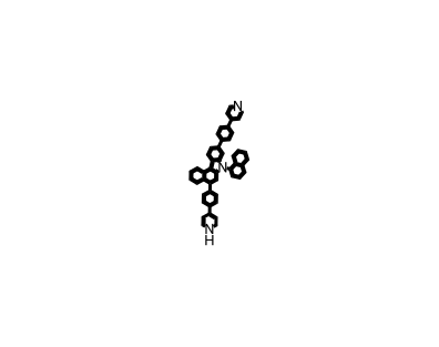 C1=CC(c2ccc(-c3cc4c(c5ccccc35)c3ccc(-c5ccc(-c6ccncc6)cc5)cc3n4-c3cccc4ccccc34)cc2)=CCN1